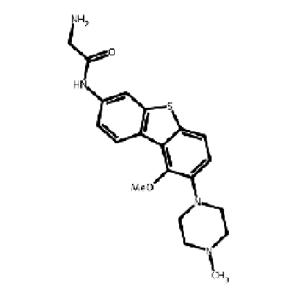 COc1c(N2CCN(C)CC2)ccc2sc3cc(NC(=O)CN)ccc3c12